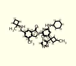 CC1CC(c2cc(NC3CCCCC3)nc(N3Cc4c(cc(CNC5(C)CCC5)cc4C(F)(F)F)C3=O)c2)(c2nncn2C)C1